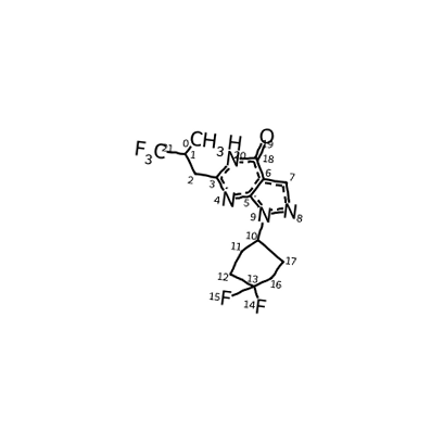 CC(Cc1nc2c(cnn2C2CCC(F)(F)CC2)c(=O)[nH]1)C(F)(F)F